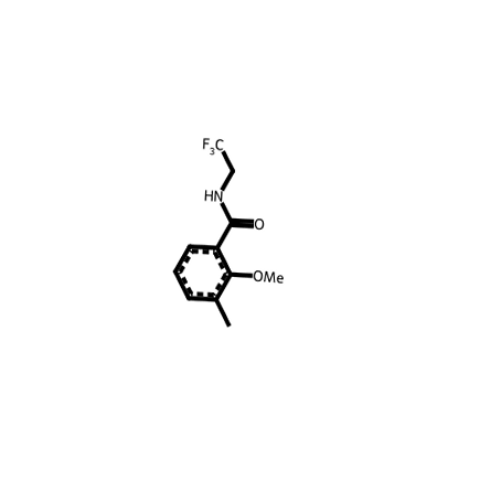 COc1c(C)cccc1C(=O)NCC(F)(F)F